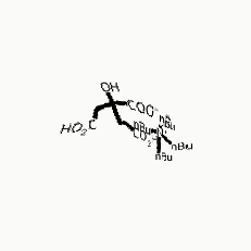 CCCC[N+](CCCC)(CCCC)CCCC.O=C(O)CC(O)(CC(=O)O)C(=O)[O-]